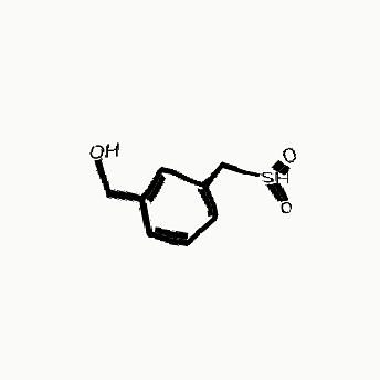 O=[SH](=O)Cc1cccc(CO)c1